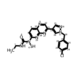 CCNC(=O)N(S)c1ccc2ncc(-c3cnn(Cc4ccc(Cl)cc4)c3)nc2n1